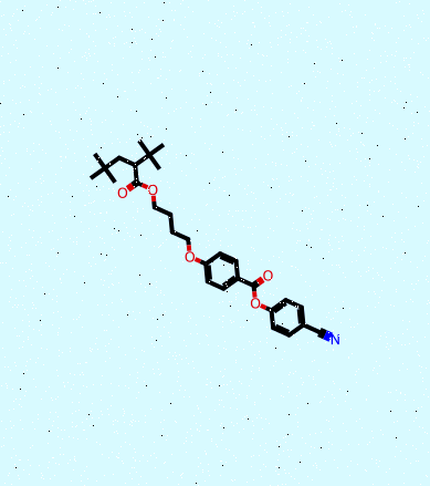 CC(C)(C)CC(C(=O)OCCCCOc1ccc(C(=O)Oc2ccc(C#N)cc2)cc1)C(C)(C)C